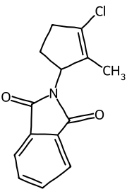 CC1=C(Cl)CCC1N1C(=O)c2ccccc2C1=O